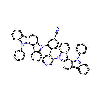 N#Cc1ccc(-c2ccncc2-n2c3ccccc3c3c2ccc2c4ccccc4n(-c4ccccc4)c23)c(-n2c3ccccc3c3c2ccc2c4ccccc4n(-c4ccccc4)c23)c1